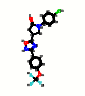 O=C1CC(c2nc(-c3ccc(OC(F)(F)F)cc3)no2)CN1c1ccc(Cl)cc1